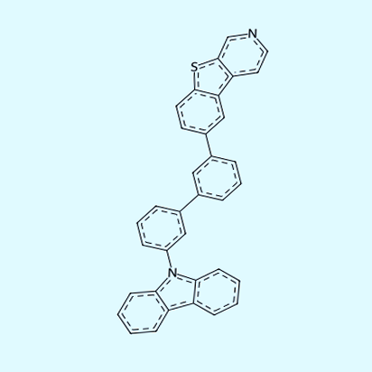 c1cc(-c2cccc(-n3c4ccccc4c4ccccc43)c2)cc(-c2ccc3sc4cnccc4c3c2)c1